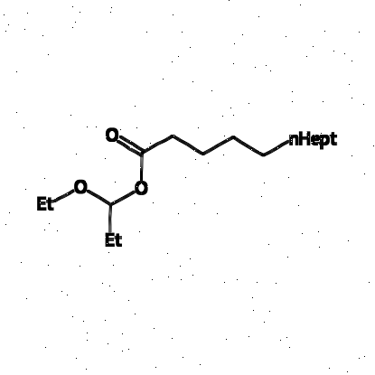 CCCCCCCCCCCC(=O)OC(CC)OCC